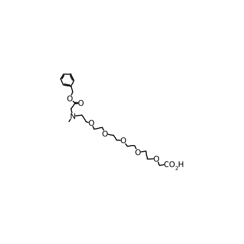 CN(CCOCCOCCOCCOCCOCC(=O)O)CC(=O)OCc1ccccc1